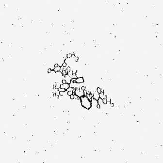 CCO[C@@H]1OC(=O)C[C@@H]1NC(=O)[C@@H]1[C@H]2CCC(C2)N1C(=O)[C@@H](NC(=O)c1cccc(NC(=O)C(C)C)c1Cl)C(C)(C)C